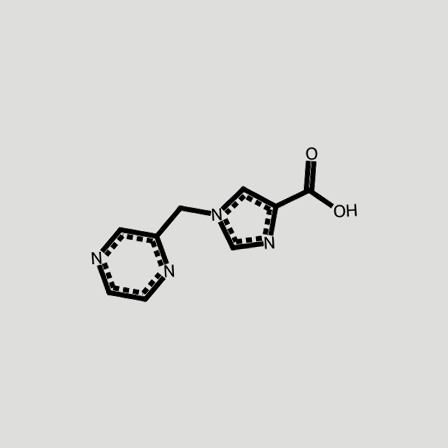 O=C(O)c1cn(Cc2cnccn2)cn1